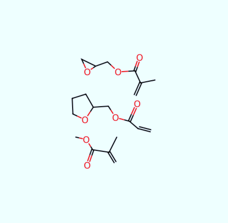 C=C(C)C(=O)OC.C=C(C)C(=O)OCC1CO1.C=CC(=O)OCC1CCCO1